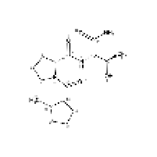 C[C@@H](O)[C@H](NC(=O)[C@H]1CCCN1C(=O)[C@@H]1CCCN1C)C(N)=O